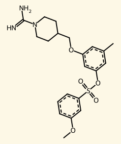 COc1cccc(S(=O)(=O)Oc2cc(C)cc(OCC3CCN(C(=N)N)CC3)c2)c1